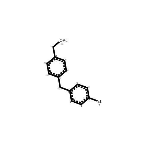 CCc1ccc(Cc2[c]cc(COC(C)=O)cc2)cc1